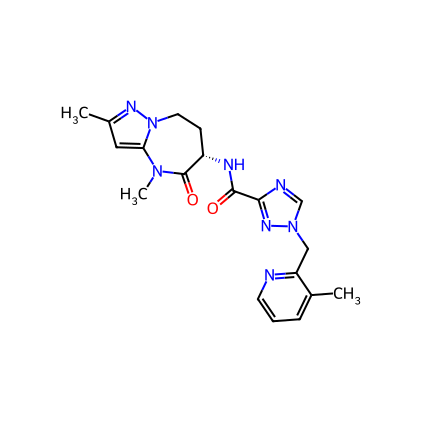 Cc1cc2n(n1)CC[C@H](NC(=O)c1ncn(Cc3ncccc3C)n1)C(=O)N2C